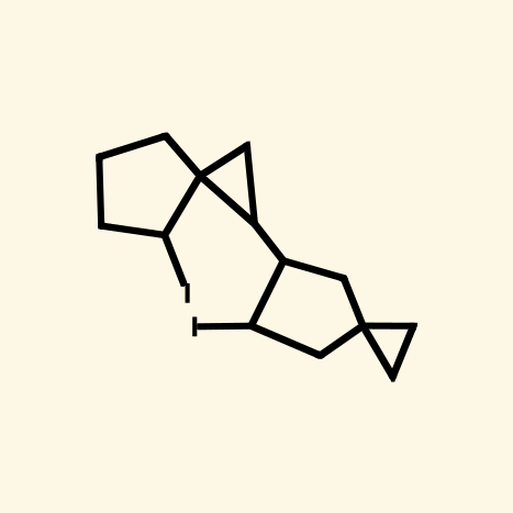 IC1CC2(CC2)CC1C1CC12CCCC2I